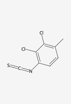 Cc1ccc(N=C=S)c(Cl)c1Cl